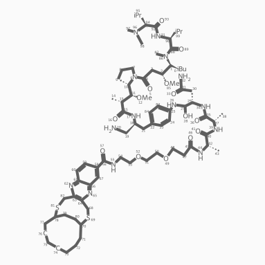 CC[C@H](C)[C@@H]([C@@H](CC(=O)N1CCC[C@H]1[C@H](OC)[C@@H](C)C(=O)N[C@H](CN)Cc1ccc(NC(O)[C@H](CC(N)=O)NC(=O)[C@H](C)NC(=O)[C@H](C)NC(=O)CCOCCOCCNC(=O)c2ccc3nc4c(nc3c2)CSC2CCCCCCCC(CC2)SC4)cc1)OC)N(C)C(=O)[C@@H](NC(=O)[C@H](C(C)C)N(C)C)C(C)C